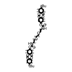 CC(C)(C)C1CCC2(CC1)OOC1(CCC(OC(=O)NCCOCCOCCNC(=O)OC3CCC4(CC3)OOC3(CCC(C(C)(C)C)CC3)OO4)CC1)OO2